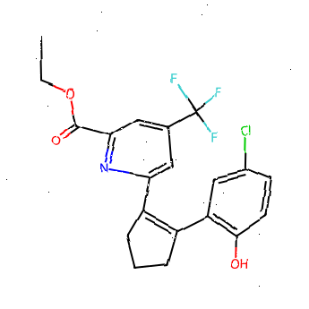 CCOC(=O)c1cc(C(F)(F)F)cc(C2=C(c3cc(Cl)ccc3O)CCC2)n1